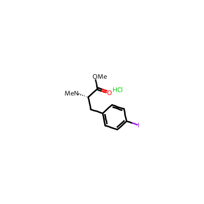 CN[C@@H](Cc1ccc(I)cc1)C(=O)OC.Cl